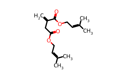 C=C(CC(=O)OCC=C(C)C)C(=O)OCC=C(C)C